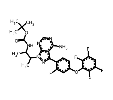 CC(NC(=O)OC(C)(C)C)C(C)n1nc(-c2ccc(Oc3c(F)c(F)cc(F)c3F)cc2F)c2c(N)ncnc21